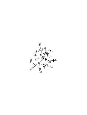 CC(OC(F)(C(F)C(F)(C(F)(F)F)C(F)(F)F)C(F)(F)F)C(F)(F)F